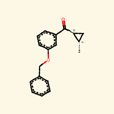 C[C@H]1C[C@@H]1C(=O)c1cccc(OCc2ccccc2)c1